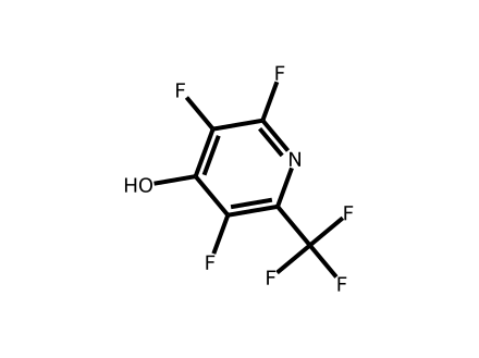 Oc1c(F)c(F)nc(C(F)(F)F)c1F